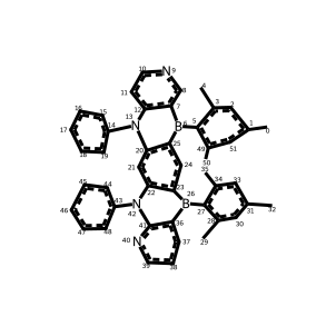 Cc1cc(C)c(B2c3cnccc3N(c3ccccc3)c3cc4c(cc32)B(c2c(C)cc(C)cc2C)c2cccnc2N4c2ccccc2)c(C)c1